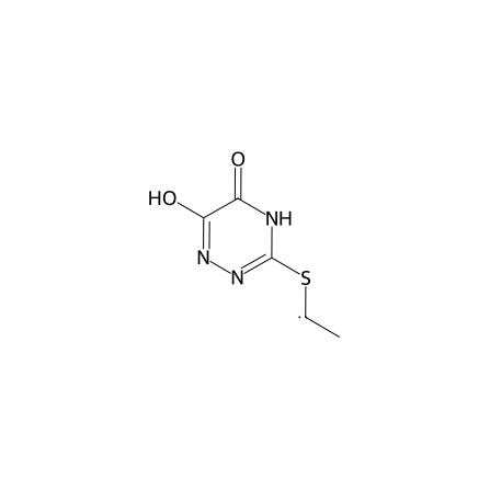 C[CH]Sc1nnc(O)c(=O)[nH]1